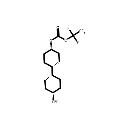 CCC[C@H]1CC[C@H]([C@H]2CC[C@H](OC(=O)OC(F)(F)C(F)(F)F)CC2)CC1